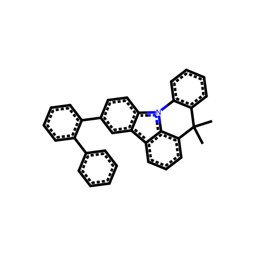 CC1(C)c2ccccc2-n2c3ccc(-c4ccccc4-c4ccccc4)cc3c3cccc1c32